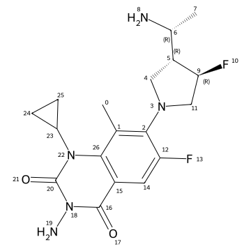 Cc1c(N2C[C@H]([C@@H](C)N)[C@@H](F)C2)c(F)cc2c(=O)n(N)c(=O)n(C3CC3)c12